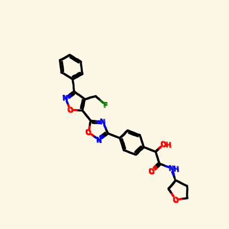 O=C(N[C@H]1CCOC1)C(O)c1ccc(-c2noc(-c3onc(-c4ccccc4)c3CF)n2)cc1